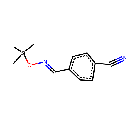 C[Si](C)(C)ON=Cc1ccc(C#N)cc1